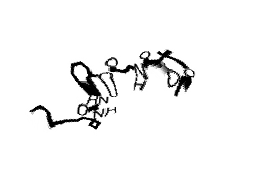 CCCCCCC1(NC(=O)NC2CCCCCC2OC(=O)CCNC(=O)C2OC(C)(C)OCC2(C)C)CCC1